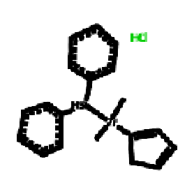 Cl.[CH3][Zr]([CH3])([C]1=CC=CC1)[SiH](c1ccccc1)c1ccccc1